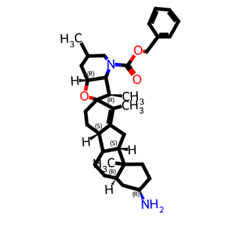 CC1=C2C[C@H]3C(CC[C@@H]4C[C@H](N)CCC43C)[C@@H]2CCC12O[C@@H]1CC(C)CN(C(=O)OCc3ccccc3)C1[C@H]2C